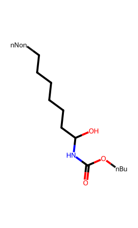 CCCCCCCCCCCCCCCC(O)NC(=O)OCCCC